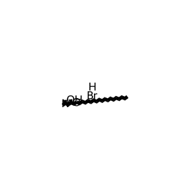 Br.CCCCCCCCCCCCCCCCCCOCC(O)CN(C)C